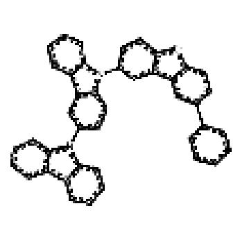 c1ccc(-c2ccc3oc4ccc(-n5c6ccccc6c6cc(-n7c8ccccc8c8ccccc87)ccc65)cc4c3c2)cc1